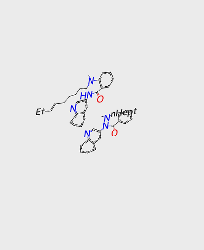 CCC=CCCCCCN(C)c1ccccc1C(=O)Nc1cnc2ccccc2c1.CCCCCCCN(C)N(C(=O)c1ccccc1)c1cnc2ccccc2c1